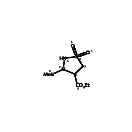 CCOC(=O)C1CS(=O)(=O)NN1SC